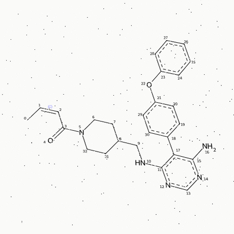 C/C=C\C(=O)N1CCC(CNc2ncnc(N)c2-c2ccc(Oc3ccccc3)cc2)CC1